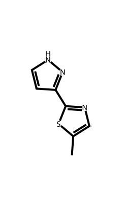 Cc1[c]nc(-c2cc[nH]n2)s1